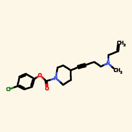 C=CCN(C)CCC#CC1CCN(C(=O)Oc2ccc(Cl)cc2)CC1